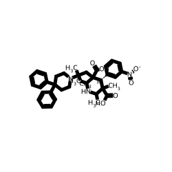 CC1NC(C)C(CC(C)(C)N2CCC(c3ccccc3)(c3ccccc3)CC2)(C(=O)O)[C@H](c2cccc([N+](=O)[O-])c2)C1(C)C(=O)O